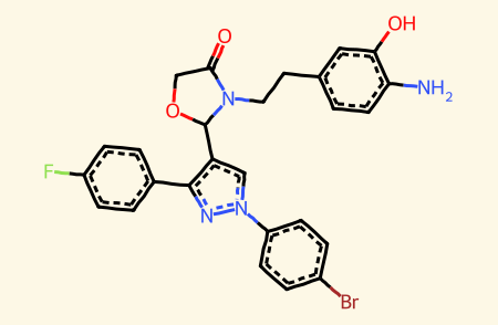 Nc1ccc(CCN2C(=O)COC2c2cn(-c3ccc(Br)cc3)nc2-c2ccc(F)cc2)cc1O